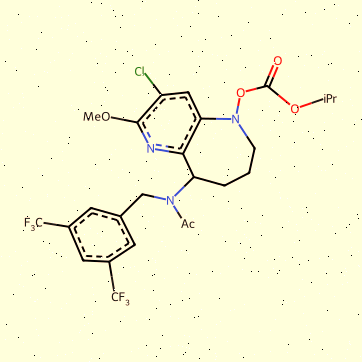 COc1nc2c(cc1Cl)N(OC(=O)OC(C)C)CCCC2N(Cc1cc(C(F)(F)F)cc(C(F)(F)F)c1)C(C)=O